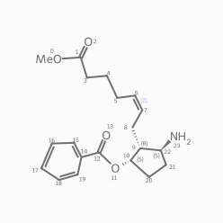 COC(=O)CCC/C=C\C[C@H]1[C@@H](OC(=O)c2ccccc2)CC[C@@H]1N